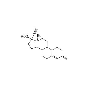 C#CC1(OC(C)=O)CCC2C3CCC4=CC(=C)CCC4C3CCC21CC